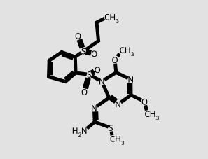 CCCS(=O)(=O)c1ccccc1S(=O)(=O)N1C(N=C(N)SC)=NC(OC)=NC1OC